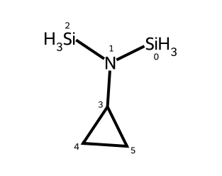 [SiH3]N([SiH3])C1CC1